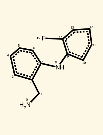 NCc1ccccc1Nc1ccccc1F